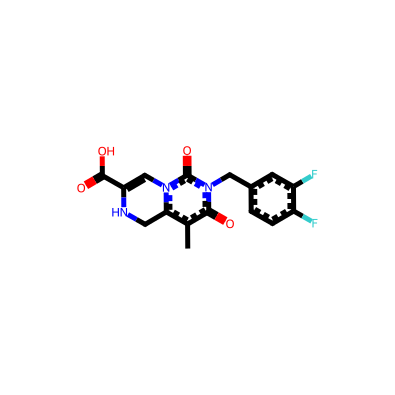 Cc1c2n(c(=O)n(Cc3ccc(F)c(F)c3)c1=O)C=C(C(=O)O)NC2